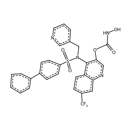 O=C(NO)Oc1cnc2cc(C(F)(F)F)ccc2c1N(Cc1cccnc1)S(=O)(=O)c1ccc(-c2ccccc2)cc1